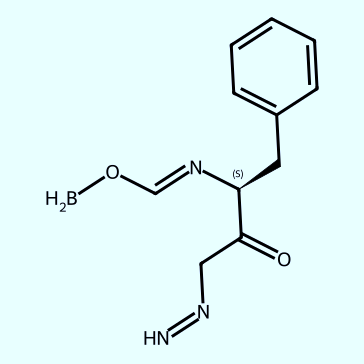 BOC=N[C@@H](Cc1ccccc1)C(=O)CN=N